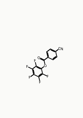 N#Cc1ccc(C(=O)Oc2c(F)c(F)c(F)c(F)c2F)cc1